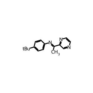 C/C(=N\c1ccc(C(C)(C)C)cc1)c1cnccn1